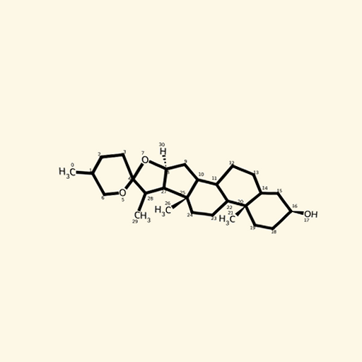 CC1CCC2(OC1)O[C@H]1CC3C4CCC5C[C@@H](O)CC[C@]5(C)C4CC[C@]3(C)C1C2C